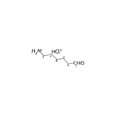 Cl.NCCCCCC=O